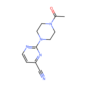 CC(=O)N1CCN(c2nccc(C#N)n2)CC1